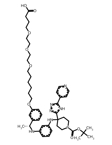 C[C@@H](Nc1cccc(NC2(c3nnc(-c4ccncc4)[nH]3)CCN(C(=O)OC(C)(C)C)CC2)c1)c1cccc(OCCCCCCOCCOCCOCCCC(=O)O)c1